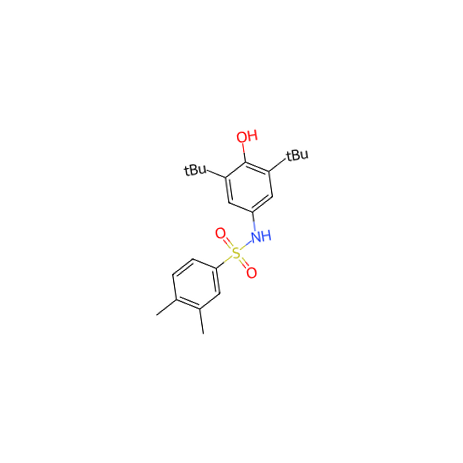 Cc1ccc(S(=O)(=O)Nc2cc(C(C)(C)C)c(O)c(C(C)(C)C)c2)cc1C